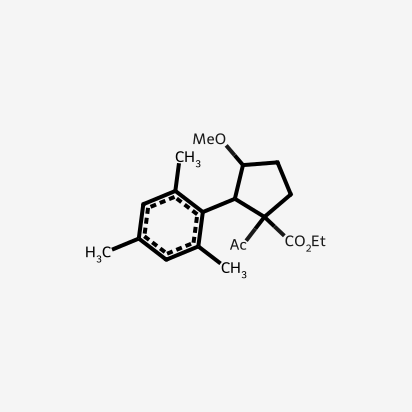 CCOC(=O)C1(C(C)=O)CCC(OC)C1c1c(C)cc(C)cc1C